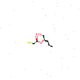 CCC=C(CO)OC(=O)CS